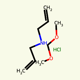 C=CCNCC=C.COCOC.Cl